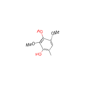 COc1cc(C)c(O)c(OC)c1O